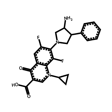 NC1CN(c2c(F)cc3c(=O)c(C(=O)O)cn(C4CC4)c3c2F)CC1c1ccccc1